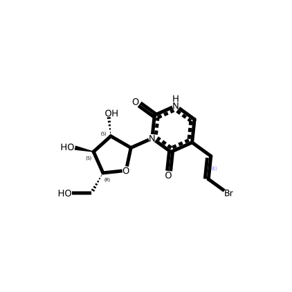 O=c1[nH]cc(/C=C/Br)c(=O)n1C1O[C@H](CO)[C@@H](O)[C@@H]1O